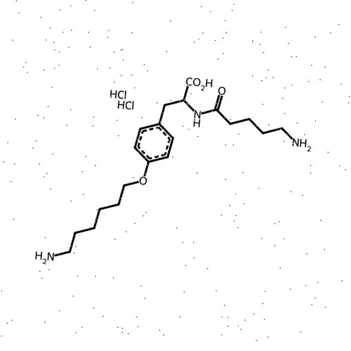 Cl.Cl.NCCCCCCOc1ccc(CC(NC(=O)CCCCN)C(=O)O)cc1